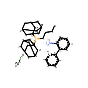 CCCCP(C12CC3CC(CC(C3)C1)C2)C12CC3CC(CC(C3)C1)C2.Nc1ccccc1-c1[c-]cccc1.[Cl][Pd+]